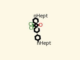 CCCCCCCC1CCC([C@H]2CC[C@@]3(CC2)C(=O)[C@]2(CCC(CCCCCCC)CC2)C3(Cl)Cl)CC1